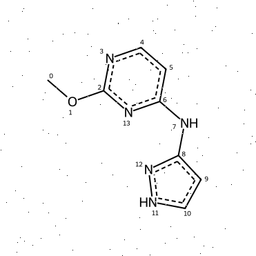 COc1nccc(Nc2cc[nH]n2)n1